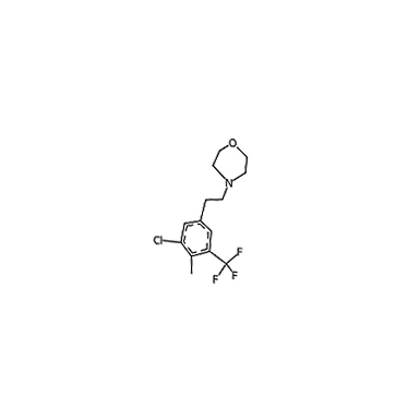 Cc1c(Cl)cc(CCN2CCOCC2)cc1C(F)(F)F